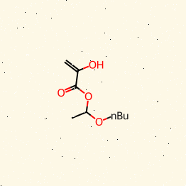 C=C(O)C(=O)OC(C)OCCCC